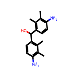 Cc1c(N)ccc(C(O)c2ccc(N)c(C)c2C)c1C